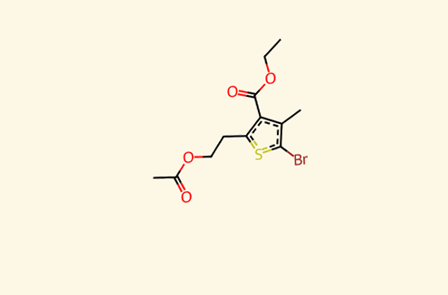 CCOC(=O)c1c(CCOC(C)=O)sc(Br)c1C